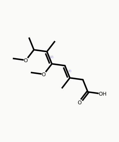 COC(/C=C(\C)CC(=O)O)=C(/C)C(C)OC